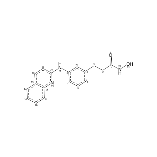 O=C(CCc1cccc(Nc2ccc3ccccc3n2)c1)NO